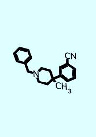 CC1(c2cccc(C#N)c2)CCN(Cc2ccccc2)CC1